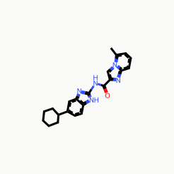 Cc1cccc2nc(C(=O)Nc3nc4cc(C5CCCCC5)ccc4[nH]3)cn12